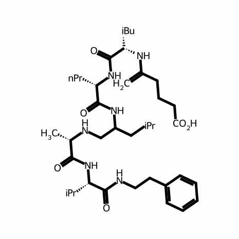 C=C(CCCC(=O)O)N[C@H](C(=O)N[C@@H](CCC)C(=O)NC(CN[C@@H](C)C(=O)N[C@H](C(=O)NCCc1ccccc1)C(C)C)CC(C)C)[C@@H](C)CC